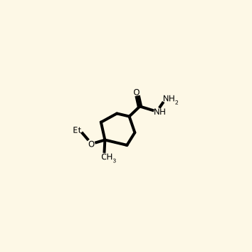 CCOC1(C)CCC(C(=O)NN)CC1